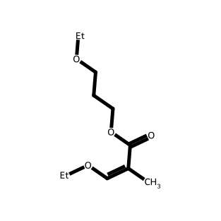 CCOC=C(C)C(=O)OCCCOCC